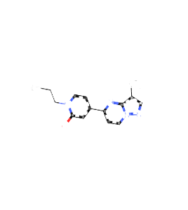 CC(C)CCn1ccc(-c2ccn3ncc(C(F)(F)F)c3n2)cc1=O